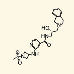 CS(=O)(=O)N1CC(Nc2cc(C(=O)NC[C@H](O)CN3CCc4ccccc4C3)ccn2)C1